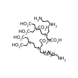 NCCN.NCCN.O=C(O)CN(CCN(CC(=O)O)CC(=O)O)CC(=O)O.O=C(O)CN(CCN(CC(=O)O)CC(=O)O)CC(=O)O